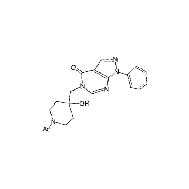 CC(=O)N1CCC(O)(Cn2cnc3c(cnn3-c3ccccc3)c2=O)CC1